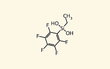 CC[Si](O)(O)c1c(F)c(F)c(F)c(F)c1F